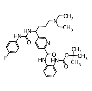 CCN(CC)CCCC(NC(=O)Nc1ccc(F)cc1)c1ccc(C(=O)Nc2ccccc2NC(=O)OC(C)(C)C)nc1